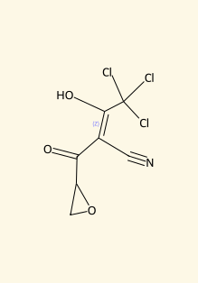 N#C/C(C(=O)C1CO1)=C(/O)C(Cl)(Cl)Cl